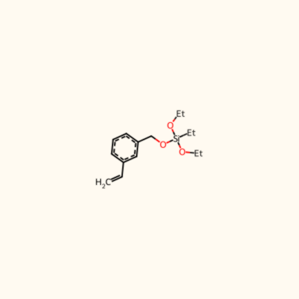 C=Cc1cccc(CO[Si](CC)(OCC)OCC)c1